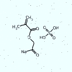 C=C(C)C(=O)OC[C](=O)[Na].O=S(=O)(O)O